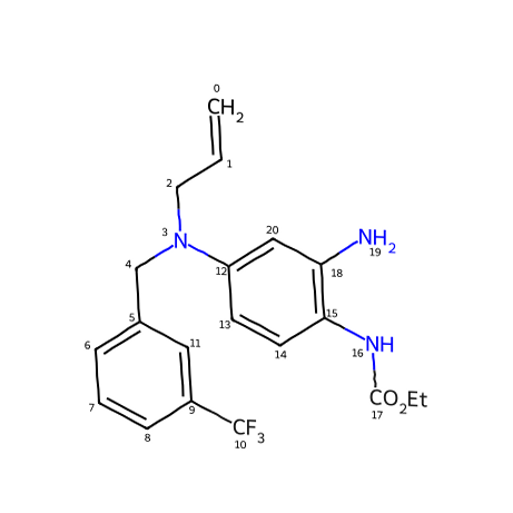 C=CCN(Cc1cccc(C(F)(F)F)c1)c1ccc(NC(=O)OCC)c(N)c1